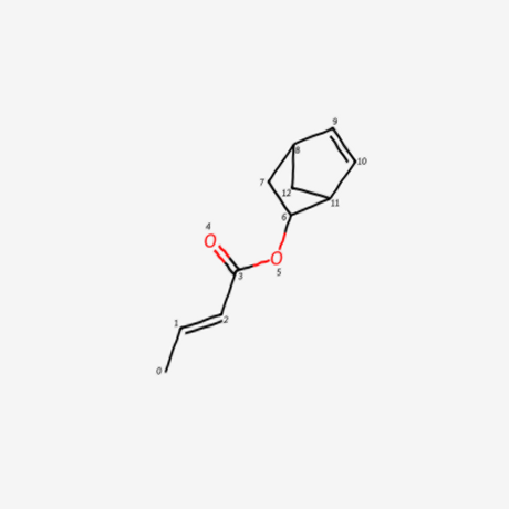 C/C=C/C(=O)OC1CC2C=CC1C2